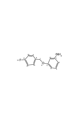 Nc1cccc(OCc2ccc(F)cc2)c1